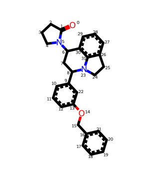 O=C1CCCN1C1CC(c2cccc(OCc3ccccc3)c2)N2CCc3cccc1c32